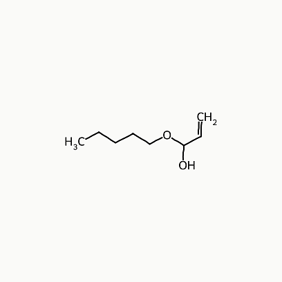 C=CC(O)OCCCCC